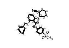 CS(=O)(=O)c1ccc(Nc2nn([C@H]3CCCC[C@@H]3C#N)c3ccnc(OCc4ccccc4)c23)cc1